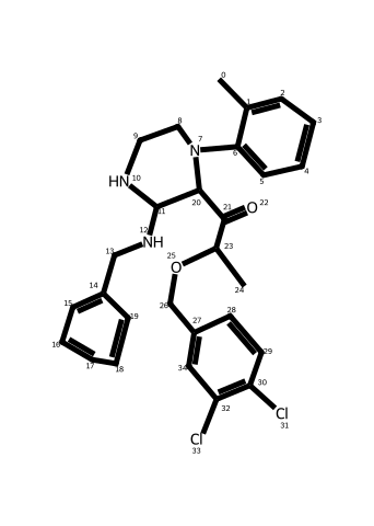 Cc1ccccc1N1CCNC(NCc2ccccc2)C1C(=O)C(C)OCc1ccc(Cl)c(Cl)c1